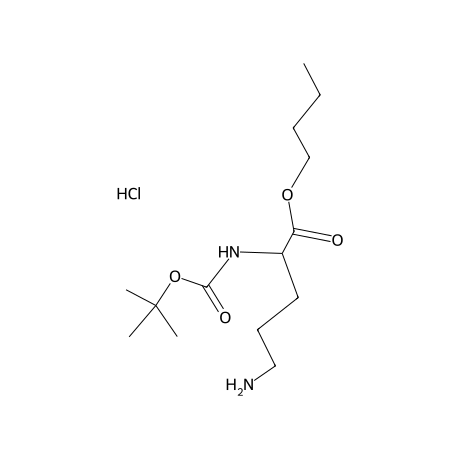 CCCCOC(=O)C(CCCN)NC(=O)OC(C)(C)C.Cl